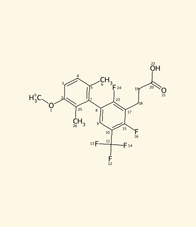 COc1ccc(C)c(-c2cc(C(F)(F)F)c(F)c(CCC(=O)O)c2F)c1C